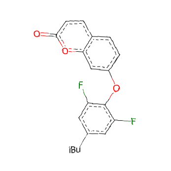 CCC(C)c1cc(F)c(Oc2ccc3ccc(=O)oc3c2)c(F)c1